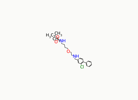 CC(C)(C)OC(=O)NCCCCOCCNCc1ccc(-c2ccccc2)c(Cl)c1